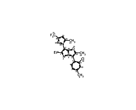 CCc1nn2c(-c3ccc(C)cc3Cl)c(C)oc2c1-n1nc(C(F)(F)F)cc1C